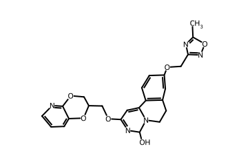 Cc1nc(COc2ccc3c(c2)CCN2C3=CC(OCC3COc4ncccc4O3)=NC2O)no1